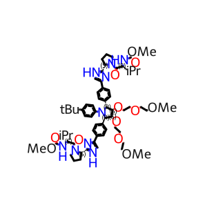 COCCOCCO[C@@H]1[C@@H](OCCOCCOC)[C@@H](c2ccc(-c3c[nH]c([C@@H]4CCCN4C(=O)[C@@H](NC(=O)OC)C(C)C)n3)cc2)N(c2ccc(C(C)(C)C)cc2)[C@@H]1c1ccc(-c2c[nH]c([C@@H]3CCCN3C(=O)[C@@H](NC(=O)OC)C(C)C)n2)cc1